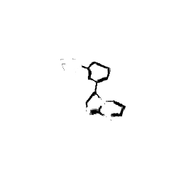 FC(F)(F)c1cccc(-c2cnc3ncccn23)c1